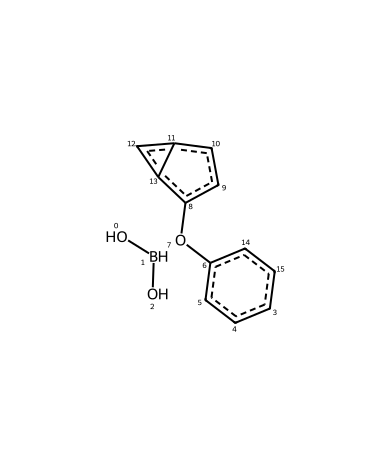 OBO.c1ccc(Oc2ccc3cc2-3)cc1